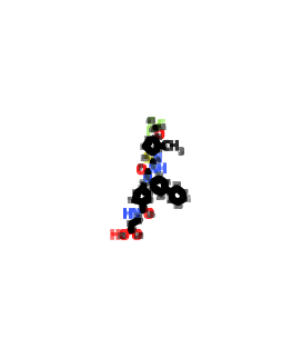 CC1c2nc(NC(=O)N(Cc3ccc(C(=O)NCCC(=O)O)cc3)c3ccc(C4CCCCC4)cc3)sc2C=CC1OC(F)(F)F